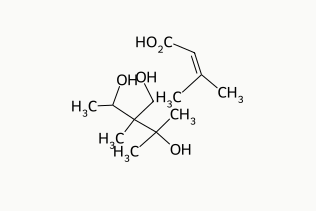 CC(C)=CC(=O)O.CC(O)C(C)(CO)C(C)(C)O